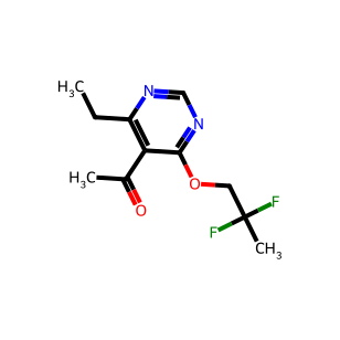 CCc1ncnc(OCC(C)(F)F)c1C(C)=O